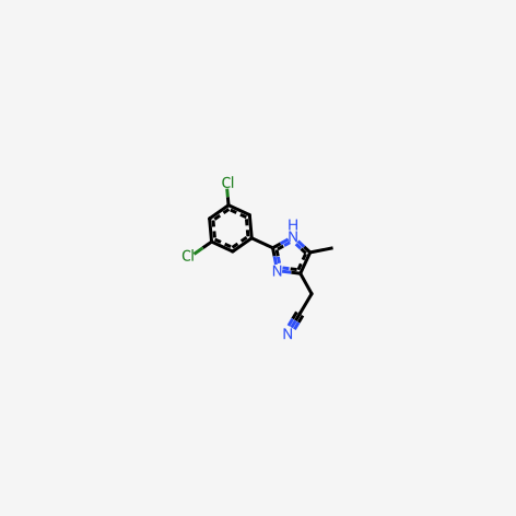 Cc1[nH]c(-c2cc(Cl)cc(Cl)c2)nc1CC#N